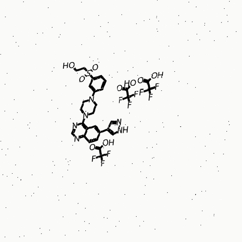 O=C(O)C(F)(F)F.O=C(O)C(F)(F)F.O=C(O)C(F)(F)F.O=S(=O)(CCO)c1cccc(N2CCN(c3ncnc4ccc(-c5cn[nH]c5)cc34)CC2)c1